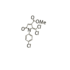 COC(=O)C1=CC(=O)N(c2ccc(Cl)cc2)C1=C(Cl)Cl